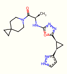 C[C@@H](Nc1nnc([C@H]2C[C@H]2c2cc[nH]n2)o1)C(=O)N1CCC2(CC1)CC2